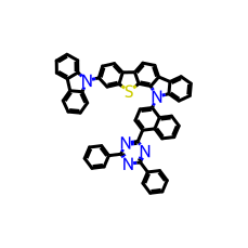 c1ccc(-c2nc(-c3ccccc3)nc(-c3ccc(-n4c5ccccc5c5ccc6c7ccc(-n8c9ccccc9c9ccccc98)cc7sc6c54)c4ccccc34)n2)cc1